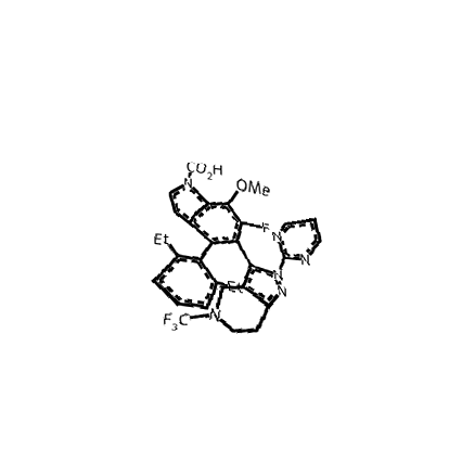 CCc1cccc(CC)c1-c1c(-c2c3c(nn2-c2ncccn2)CCN(C(F)(F)F)C3)c(F)c(OC)c2c1ccn2C(=O)O